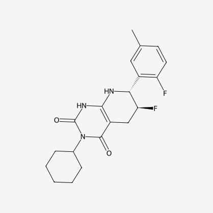 Cc1ccc(F)c([C@H]2Nc3[nH]c(=O)n(C4CCCCC4)c(=O)c3C[C@@H]2F)c1